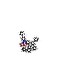 Oc1c(N(c2ccc(-c3ccccc3)cc2)c2cccc(-c3ccccc3)c2)ccc(-c2cc(-c3ccccc3)cc(-c3ccccc3)c2)c1-c1ccc2ccccc2c1